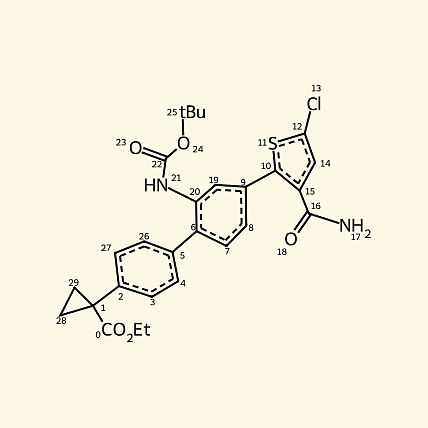 CCOC(=O)C1(c2ccc(-c3ccc(-c4sc(Cl)cc4C(N)=O)cc3NC(=O)OC(C)(C)C)cc2)CC1